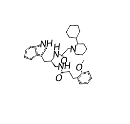 COc1ccccc1CCC(=O)NC[C@@H](Cc1c[nH]c2ccccc12)NC(=O)CN1CCCCC1C1CCCCC1